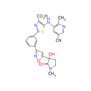 Cc1ncc(C#N)cc1Nc1sc(-c2cccc(-c3cc(C4(O)CCN(C)C4=O)on3)c2)nc1C(=O)O